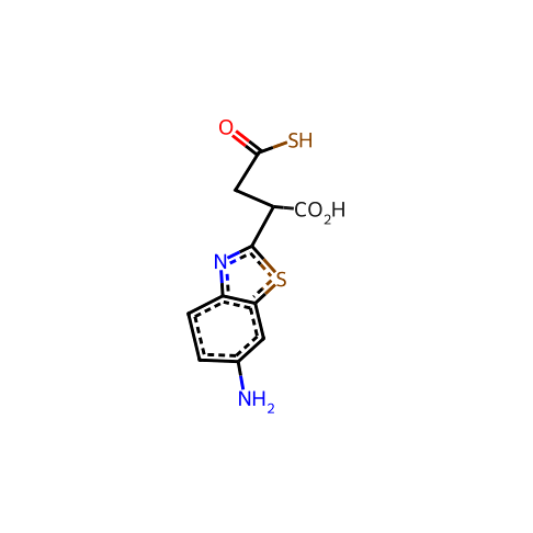 Nc1ccc2nc(C(CC(=O)S)C(=O)O)sc2c1